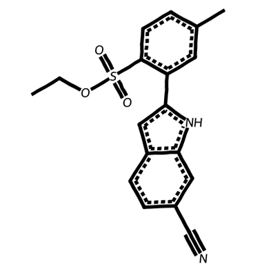 CCOS(=O)(=O)c1ccc(C)cc1-c1cc2ccc(C#N)cc2[nH]1